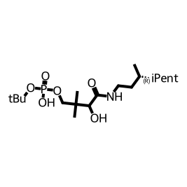 CCC[C@@H](C)C(C)CCNC(=O)C(O)C(C)(C)COP(=O)(O)OC(C)(C)C